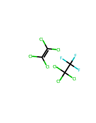 ClC(Cl)=C(Cl)Cl.FC(F)(F)C(Cl)(Cl)Cl